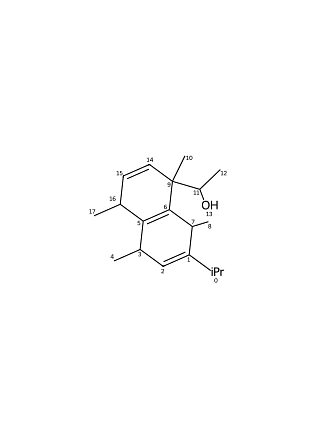 CC(C)C1=CC(C)C2=C(C1C)C(C)(C(C)O)C=CC2C